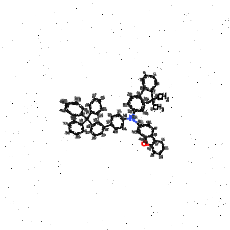 CC1(C)c2ccccc2-c2ccc(N(c3ccc(-c4cccc5c4-c4ccccc4C5(c4ccccc4)c4ccccc4)cc3)c3ccc4c(c3)oc3ccccc34)cc21